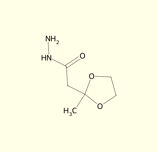 CC1(CC(=O)NN)OCCO1